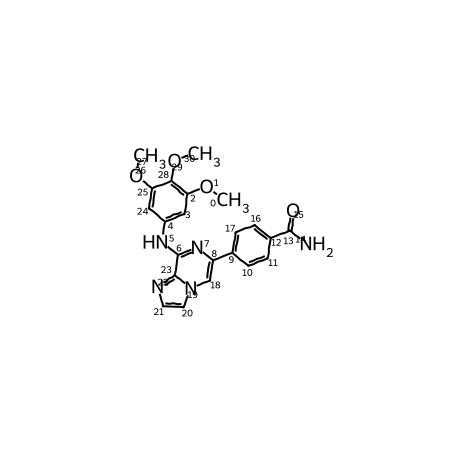 COc1cc(Nc2nc(-c3ccc(C(N)=O)cc3)cn3ccnc23)cc(OC)c1OC